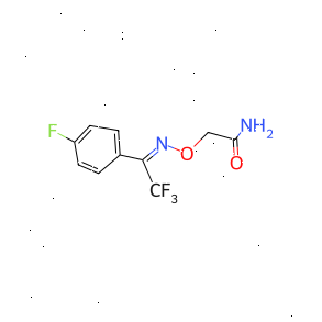 NC(=O)CON=C(c1ccc(F)cc1)C(F)(F)F